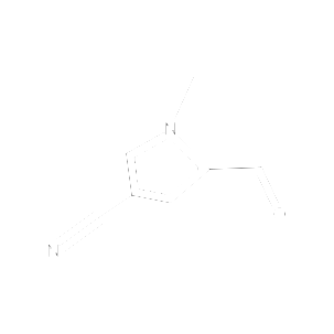 Cn1cc(C#N)cc1C=O